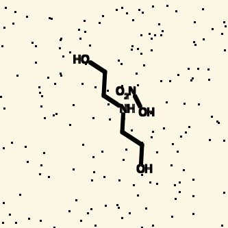 O=[N+]([O-])O.OCCNCCO